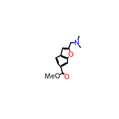 COC(=O)c1ccc2cc(CN(C)C)oc2c1